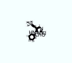 C[Si](C)(C)C#Cc1cnc(Cl)nc1NC1(C=O)CCCCC1